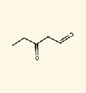 CCC(=O)[CH]C=O